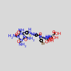 NC(=O)CN1CCN(CC(N)=O)CCN(CC(N)=O)C(Cc2ccc(NC(=S)NCc3ccc(C(=O)N(CCCC[C@@H](NC(=O)N[C@H](CCC(=O)O)C(=O)O)C(=O)O)Cc4ccc(Br)cc4)cc3)cc2)CN(CC(N)=O)CC1